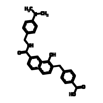 CN(C)c1ccc(CNC(=O)c2ccc3ccc(Cc4ccc(C(=O)O)cc4)c(O)c3c2)cc1